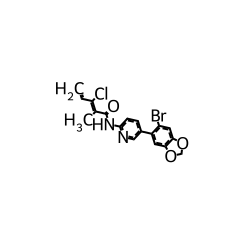 C=C/C(Cl)=C(\C)C(=O)Nc1ccc(-c2cc3c(cc2Br)OCO3)cn1